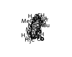 CCC(CO)OC(COC(=O)NCCC(=O)O[C@@H](C)C(=O)O[C@H](C)CNC(=O)[C@H](Cc1ccccc1)NC(=O)[C@H](C)[C@@H](OC)[C@@H]1CCCN1C(=O)C[C@@H](OC)[C@H]([C@@H](C)CC)N(C)C(=O)[C@@H](NC(=O)[C@H](C(C)C)N(C)C)C(C)C)OC